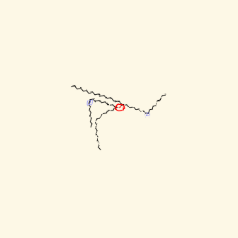 CCCCCCCC/C=C\CCCCCCCC(CCCCCCCCCCCCCCCC)OC(CCCCCCC/C=C\CCCCCCCC)CCCCCCCCCCCCCCCC